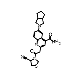 N#CC1CSCN1C(=O)Cc1cc(C(N)=O)c2cc(N3CC4CCCC4C3)ccc2n1